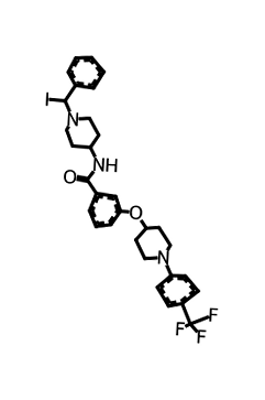 O=C(NC1CCN(C(I)c2ccccc2)CC1)c1cccc(OC2CCN(c3ccc(C(F)(F)F)cc3)CC2)c1